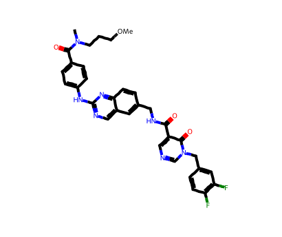 COCCCN(C)C(=O)c1ccc(Nc2ncc3cc(CNC(=O)c4cncn(Cc5ccc(F)c(F)c5)c4=O)ccc3n2)cc1